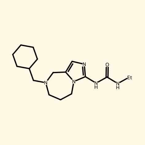 CCNC(=O)Nc1ncc2n1CCCN(CC1CCCCC1)C2